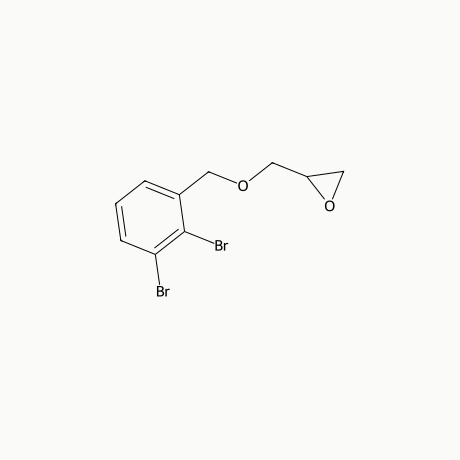 Brc1cccc(COCC2CO2)c1Br